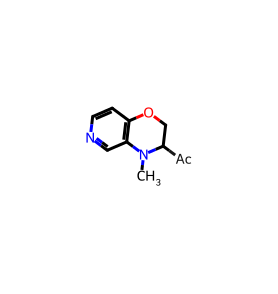 CC(=O)C1COc2ccncc2N1C